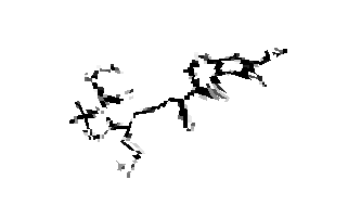 Cn1c(C(C)(C)C)cc2ncc(C(=O)CCC[C@@H](OC(F)(F)F)[C@@H]3COC(C)(C)N3C(=O)OC(C)(C)C)nc21